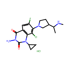 CNC(C)C1CCN(c2c(F)cc3c(=O)n(N)c(=O)n(C4CC4)c3c2Cl)C1.Cl